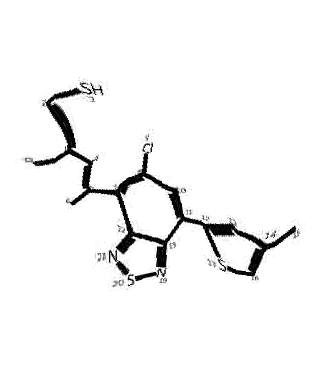 CC(=C/S)/C=C(\C)c1c(Cl)cc(-c2cc(C)cs2)c2nsnc12